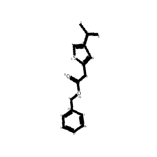 CC(C)c1csc(CC(=O)OCc2ccccc2)c1